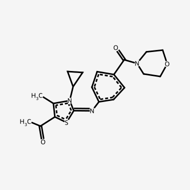 CC(=O)c1sc(=Nc2ccc(C(=O)N3CCOCC3)cc2)n(C2CC2)c1C